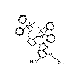 COCCOc1nc(N)nc2c1ncn2[C@@H]1CC[C@H](CO[Si](c2ccccc2)(c2ccccc2)C(C)(C)C)[C@H]1CO[Si](c1ccccc1)(c1ccccc1)C(C)(C)C